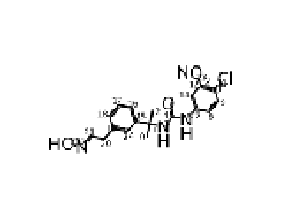 CC(C)(NC(=O)Nc1ccc(Cl)c([N+](=O)[O-])c1)c1cccc(C/C=N/O)c1